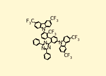 FC(F)(F)c1ccc2c(c1)c1cc(C(F)(F)F)ccc1n2-c1ccc(-c2cccc(-n3c4ccc(C(F)(F)F)cc4c4cc(C(F)(F)F)ccc43)c2C(F)(F)F)c(-c2nc(-c3ccccc3)nc(-c3ccccc3)n2)c1